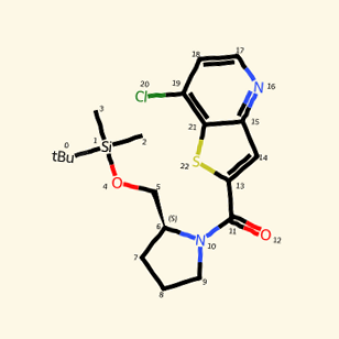 CC(C)(C)[Si](C)(C)OC[C@@H]1CCCN1C(=O)c1cc2nccc(Cl)c2s1